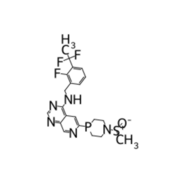 C[S+]([O-])N1CCP(c2cc3c(NCc4cccc(C(C)(F)F)c4F)ncnc3cn2)CC1